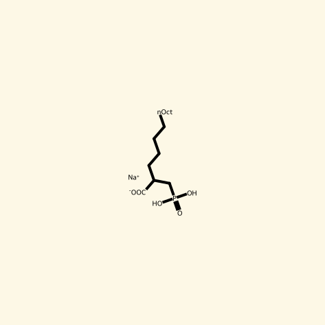 CCCCCCCCCCCCC(CP(=O)(O)O)C(=O)[O-].[Na+]